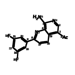 CC(=O)c1cnc(N)c2nc(-c3cc(F)cc(F)c3)ccc12